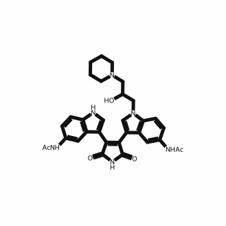 CC(=O)Nc1ccc2[nH]cc(C3=C(c4cn(CC(O)CN5CCCCC5)c5ccc(NC(C)=O)cc45)C(=O)NC3=O)c2c1